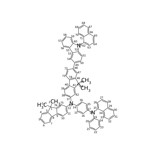 CC1(C)c2ccccc2-c2ccc(N(c3ccc(N(c4ccccc4)c4cccc5ccccc45)cc3)c3ccc4c(c3)C(C)(C)c3cc(-c5ccc6c(c5)c5ccccc5n6-c5cccc6ccccc56)ccc3-4)cc21